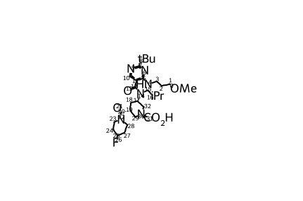 COCCCNc1nc(C(C)(C)C)ncc1C(=O)N(CC(C)C)[C@H]1C[C@@H](C(=O)N2CCC(F)CC2)CN(C(=O)O)C1